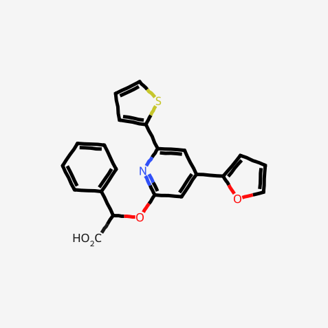 O=C(O)C(Oc1cc(-c2ccco2)cc(-c2cccs2)n1)c1ccccc1